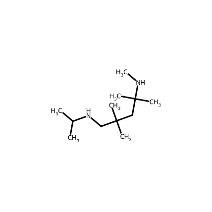 CNC(C)(C)CC(C)(C)CNC(C)C